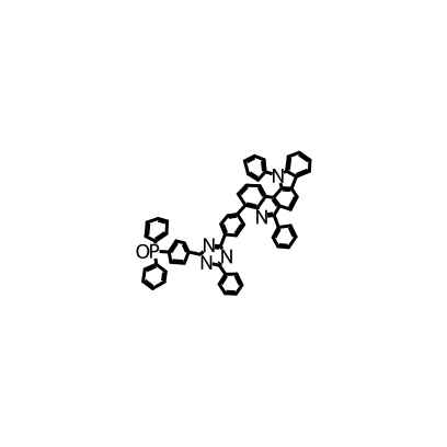 O=P(c1ccccc1)(c1ccccc1)c1ccc(-c2nc(-c3ccccc3)nc(-c3ccc(-c4cccc5c4nc(-c4ccccc4)c4ccc6c7ccccc7n(-c7ccccc7)c6c45)cc3)n2)cc1